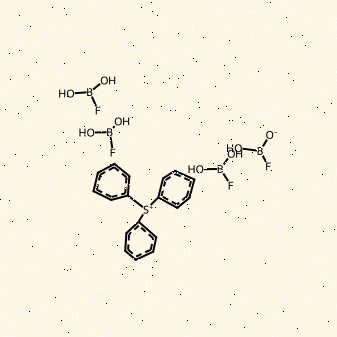 OB(O)F.OB(O)F.OB(O)F.[O-]B(O)F.c1ccc([S+](c2ccccc2)c2ccccc2)cc1